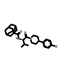 CC(C)[C@@H](NC(=O)C12CC3CC(CC(C3)C1)C2)C(=O)N1CCC(c2ccc(Cl)cc2)CC1